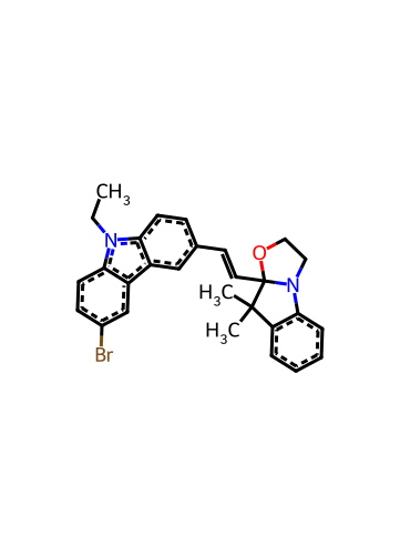 CCn1c2ccc(Br)cc2c2cc(C=CC34OCCN3c3ccccc3C4(C)C)ccc21